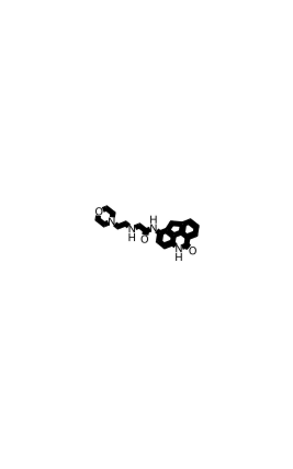 O=C(CNCCN1CCOCC1)Nc1ccc2[nH]c(=O)c3cccc4c3c2c1C4